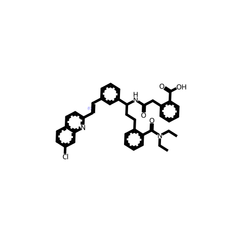 CCN(CC)C(=O)c1ccccc1CCC(NC(=O)Cc1ccccc1C(=O)O)c1cccc(/C=C/c2ccc3ccc(Cl)cc3n2)c1